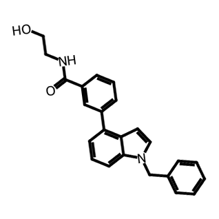 O=C(NCCO)c1cccc(-c2cccc3c2ccn3Cc2ccccc2)c1